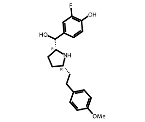 COc1ccc(CC[C@@H]2CC[C@H](C(O)c3ccc(O)c(F)c3)N2)cc1